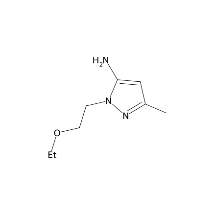 CCOCCn1nc(C)cc1N